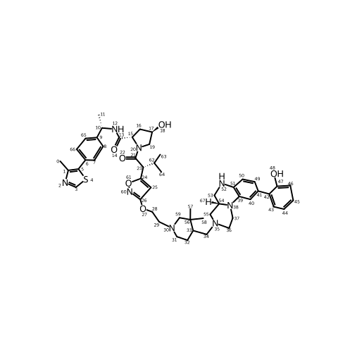 Cc1ncsc1-c1ccc([C@H](C)NC(=O)[C@@H]2C[C@@H](O)CN2C(=O)[C@@H](c2cc(OCCN3CCC(CN4CCN5c6cc(-c7ccccc7O)ccc6NC[C@H]5C4)C(C)(C)C3)no2)C(C)C)cc1